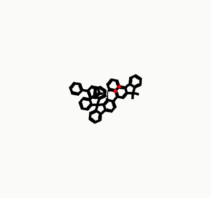 CC1(C)c2ccccc2-c2ccc(-c3ccc4c(c3N(c3ccccc3)c3ccc(-c5ccccc5)cc3)C3(c5ccccc5-c5ccccc53)c3ccccc3-4)cc21